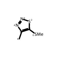 [CH2]Sc1snnc1C